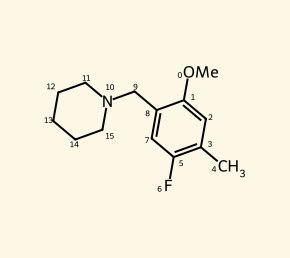 COc1cc(C)c(F)cc1CN1CCCCC1